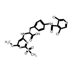 COc1cc(N[C@@H](Cc2ccc(NC(=O)c3c(Cl)cncc3Cl)cc2)C(=O)O)nc(S(C)(=O)=O)n1